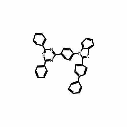 c1ccc(-c2ccc(-c3nc4ccccc4n3-c3ccc(-c4nc(-c5ccccc5)nc(-c5ccccc5)n4)cc3)cc2)cc1